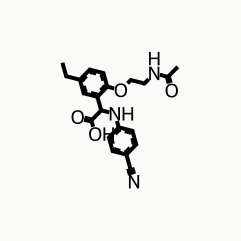 CCc1ccc(OCCNC(C)=O)c(C(Nc2ccc(C#N)cc2)C(=O)O)c1